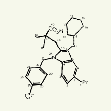 CC(C)c1ccc2c(c1)c(SC1CCCCC1)c(CC(C)(C)C(=O)O)n2Cc1ccc(Cl)cc1